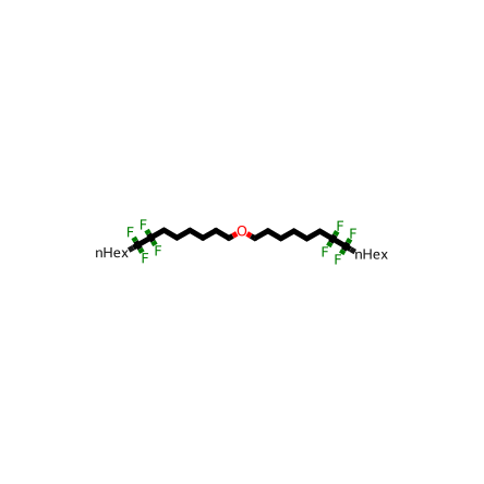 CCCCCCC(F)(F)C(F)(F)CCCCCCOCCCCCCC(F)(F)C(F)(F)CCCCCC